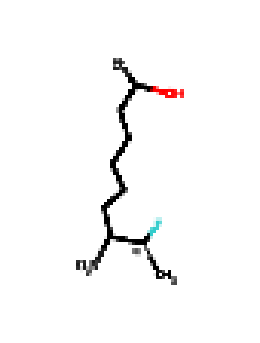 CCC(O)CCCCCC([C@@H](C)F)[N+](=O)[O-]